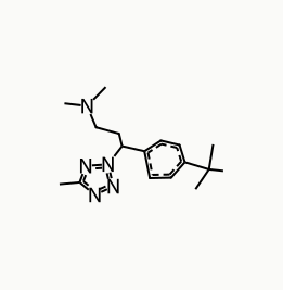 Cc1nnn(C(CCN(C)C)c2ccc(C(C)(C)C)cc2)n1